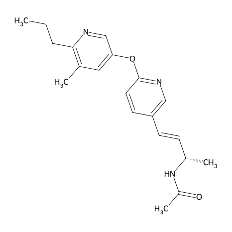 CCCc1ncc(Oc2ccc(/C=C/[C@H](C)NC(C)=O)cn2)cc1C